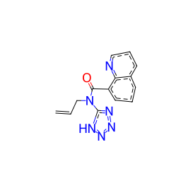 C=CCN(C(=O)c1cccc2cccnc12)c1nnn[nH]1